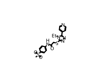 CCn1c(SCC(=O)Nc2ccc(S(C)(=O)=O)cc2)nnc1-c1ccncc1